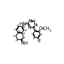 COc1cc(F)ccc1-c1ncnc(Nc2ccc3c(c2)SC(=N)CC3)n1